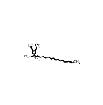 CCCCCCCCCCCCCCCC(N)C(CC)(CCCC)CCCC